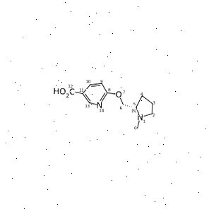 CN1CCC[C@H]1COc1ccc(C(=O)O)cn1